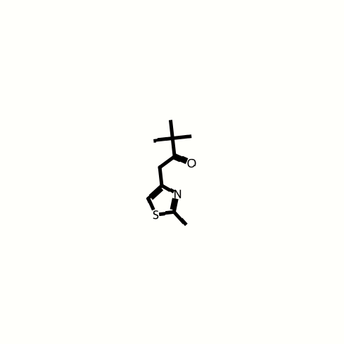 Cc1nc(CC(=O)C(C)(C)C)cs1